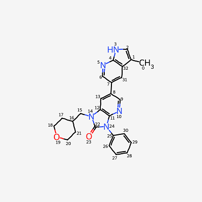 Cc1c[nH]c2ncc(-c3cnc4c(c3)n(CC3CCOCC3)c(=O)n4-c3ccccc3)cc12